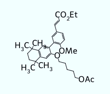 CCOC(=O)C=Cc1ccc(OC)c(-c2cc3c(cc2OCCCCCOC(C)=O)C(C)(C)CCC3(C)C)c1